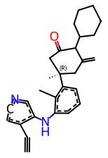 C#Cc1ccncc1Nc1cccc([C@]2(C)CC(=C)C(C3CCCCC3)C(=O)C2)c1C